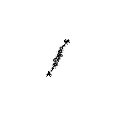 C=CC(=O)OCCCCOc1ccc(C(=O)Oc2ccc(OC(=O)c3ccc(OCCCCOC(=O)C=C)cc3C)cc2C)cc1